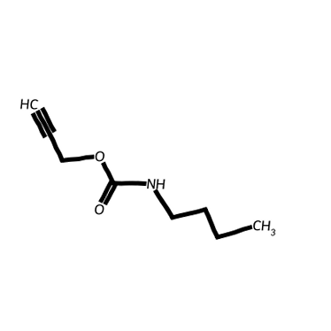 C#CCOC(=O)NCCCC